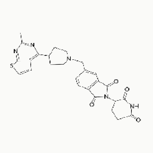 Cc1nc(C2CCN(Cc3ccc4c(c3)C(=O)N(C3CCC(=O)NC3=O)C4=O)CC2)c2ccsc2n1